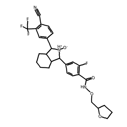 N#Cc1ccc(C2C3CCCCC3C(c3ccc(C(=O)NOCC4CCCO4)c(F)c3)[NH+]2[O-])cc1C(F)(F)F